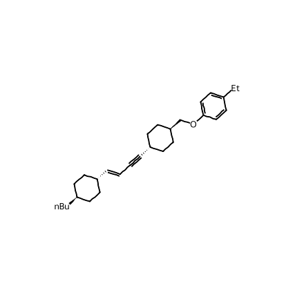 CCCC[C@H]1CC[C@H](/C=C/C#C[C@H]2CC[C@H](COc3ccc(CC)cc3)CC2)CC1